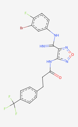 N=C(Nc1ccc(F)c(Br)c1)c1nonc1NC(=O)CCc1ccc(C(F)(F)F)cc1